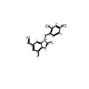 Cc1cc(C=O)cc2c1nc(C)n2Cc1ccc(Cl)cc1Cl